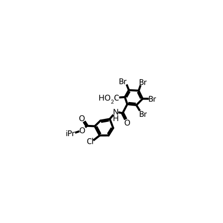 CC(C)OC(=O)c1cc(NC(=O)c2c(Br)c(Br)c(Br)c(Br)c2C(=O)O)ccc1Cl